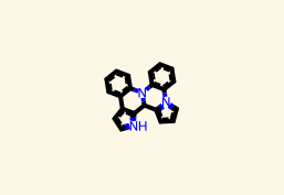 c1ccc2c(c1)-c1cc[nH]c1C1c3cccn3-c3ccccc3N21